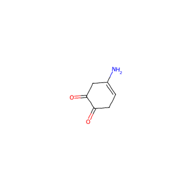 NC1=CCC(=O)C(=O)C1